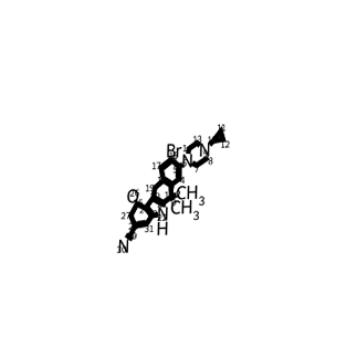 CC1(C)c2cc(N3CCN(C4CC4)CC3)c(Br)cc2Cc2c1[nH]c1c2C(=O)CC(C#N)=C1